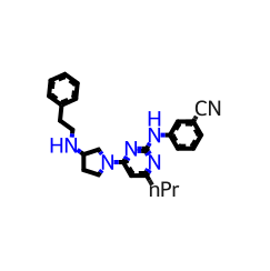 CCCc1cc(N2CCC(NCCc3ccccc3)C2)nc(Nc2cccc(C#N)c2)n1